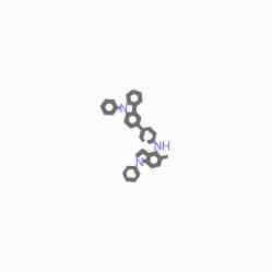 C=C(/C=C\C(=C/C)c1ccc2c(c1)c1ccccc1n2-c1ccccc1)Nc1c(C)ccc2c1ccn2C1=CC=CCC1